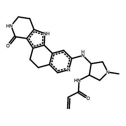 C=CC(=O)NC1CN(C)CC1Nc1cc2c(cn1)CCc1c-2[nH]c2c1C(=O)NCC2